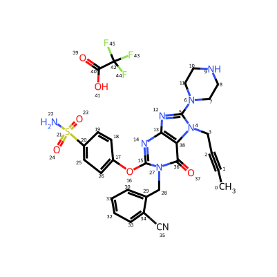 CC#CCn1c(N2CCNCC2)nc2nc(Oc3ccc(S(N)(=O)=O)cc3)n(Cc3ccccc3C#N)c(=O)c21.O=C(O)C(F)(F)F